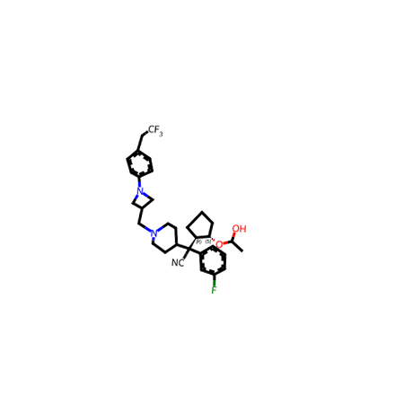 CC(O)O[C@H]1CCC[C@@H]1C(C#N)(c1cccc(F)c1)C1CCN(CC2CN(c3ccc(CC(F)(F)F)cc3)C2)CC1